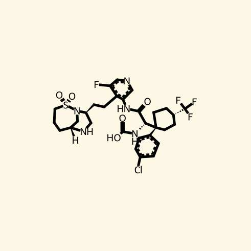 O=C(O)N[C@H](C(=O)Nc1cncc(F)c1CC[C@H]1CN[C@@H]2CCCS(=O)(=O)N1C2)[C@]1(c2ccc(Cl)cc2)CC[C@H](C(F)(F)F)CC1